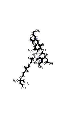 C=C(O)/C=C(\C=C/C)[C@H](CC(=O)O)NC(=O)Nc1c(OBNC(=O)COCC(=O)NCCOC(C)(CC)CCO)c(C)cn(CC(=C/C=C\C)/C(O)=C\C)c1=O